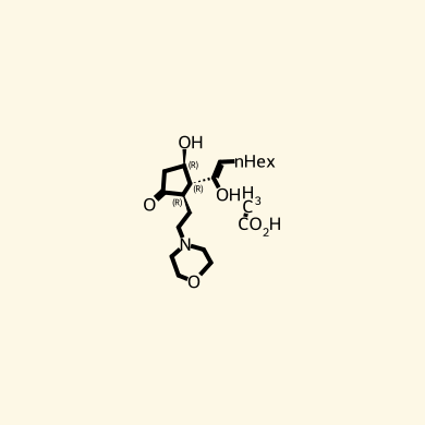 CC(=O)O.CCCCCCC=C(O)[C@H]1[C@H](O)CC(=O)[C@@H]1CCN1CCOCC1